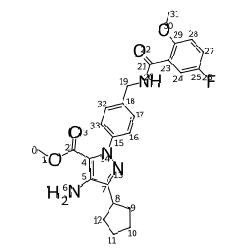 COC(=O)c1c(N)c(C2CCCC2)nn1-c1ccc(CNC(=O)c2cc(F)ccc2OC)cc1